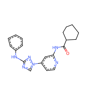 O=C(Nc1cc(-n2cnc(Nc3ccccc3)n2)ccn1)C1CCCCC1